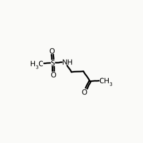 CC(=O)CCNS(C)(=O)=O